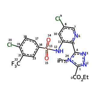 CCOC(=O)c1nnc(-c2ncc(Cl)cc2NS(=O)(=O)c2ccc(Cl)c(C(F)(F)F)c2)n1C(C)C